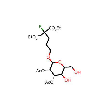 CCOC(=O)C(F)(CCCOC1O[C@H](CO)[C@@H](O)[C@H](OC(C)=O)[C@@H]1OC(C)=O)C(=O)OCC